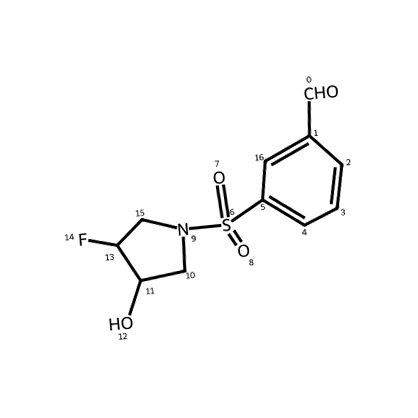 O=Cc1cccc(S(=O)(=O)N2CC(O)C(F)C2)c1